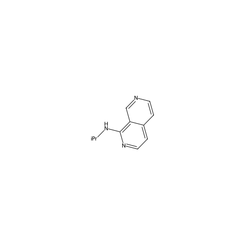 CC(C)Nc1nccc2ccncc12